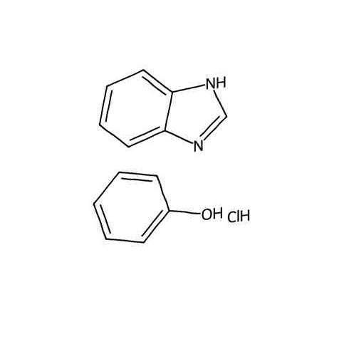 Cl.Oc1ccccc1.c1ccc2[nH]cnc2c1